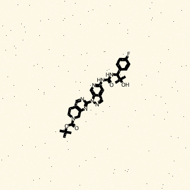 CC(C)(C)OC(=O)N1CCc2cnc(-n3ncc4cc(NC(=O)NC(c5ccc(F)cc5)C(C)(C)O)ncc43)nc2C1